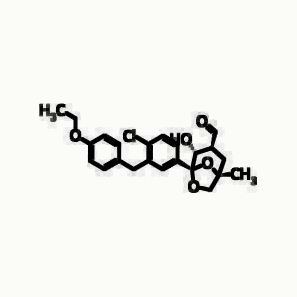 CCOc1ccc(Cc2cc([C@@]34OC[C@@](C)(C[C@H](C=O)[C@H]3O)O4)ccc2Cl)cc1